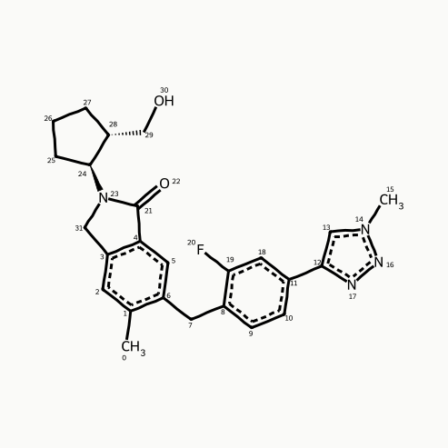 Cc1cc2c(cc1Cc1ccc(-c3cn(C)nn3)cc1F)C(=O)N([C@H]1CCC[C@@H]1CO)C2